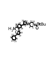 CC(C)(C)OC(=O)N1CCC(n2cc(-c3cnc(N)c(-c4ccc(-c5ccccc5)o4)c3)cn2)CC1